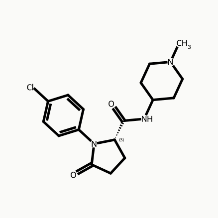 CN1CCC(NC(=O)[C@@H]2CCC(=O)N2c2ccc(Cl)cc2)CC1